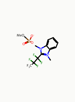 COS(=O)(=O)[O-].Cn1c(C(F)(F)C(F)(F)C(F)(F)F)[n+](C)c2ccccc21